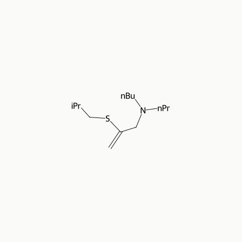 C=C(CN(CCC)CCCC)SCC(C)C